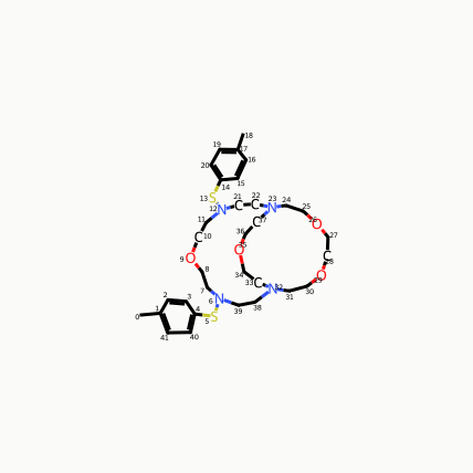 Cc1ccc(SN2CCOCCN(Sc3ccc(C)cc3)CCN3CCOCCOCCN(CCOCC3)CC2)cc1